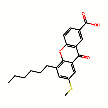 CCCCCCc1cc(SC)cc2c(=O)c3cc(C(=O)O)ccc3oc12